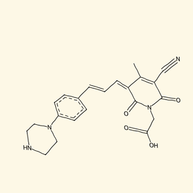 CC1=C(C#N)C(=O)N(CC(=O)O)C(=O)/C1=C\C=C\c1ccc(N2CCNCC2)cc1